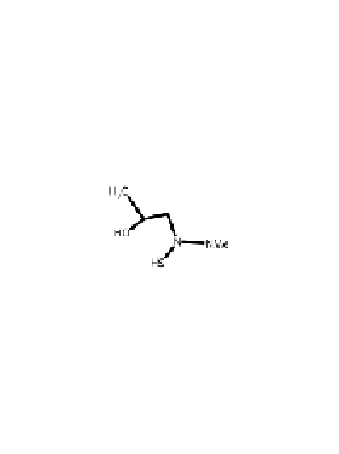 CNN(S)CC(C)O